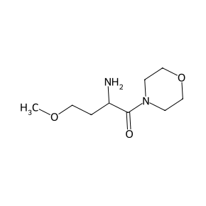 COCCC(N)C(=O)N1CCOCC1